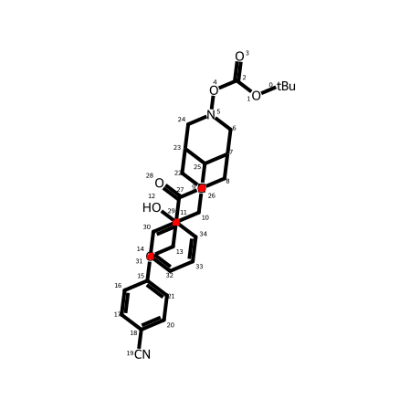 CC(C)(C)OC(=O)ON1CC2CN(CC(O)COc3ccc(C#N)cc3)CC(C1)C2OC(=O)c1ccccc1